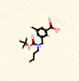 CCCCN(Cc1cc(C)cc(C(=O)O)c1)C(=O)OC(C)(C)C